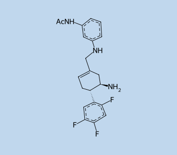 CC(=O)Nc1cccc(NCC2=CC[C@@H](c3cc(F)c(F)cc3F)[C@H](N)C2)c1